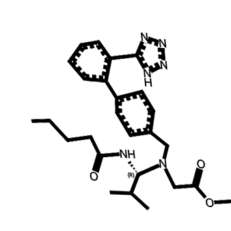 CCCCC(=O)N[C@@H](C(C)C)N(CC(=O)OC)Cc1ccc(-c2ccccc2-c2nnn[nH]2)cc1